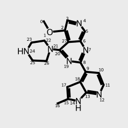 COc1cncc2nc(-c3ccnc4[nH]c(C)cc34)nc(N3CCNCC3)c12